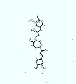 O=C(/C=C/c1ccc(Cl)c(Cl)c1)N1CCC(=O)N(CCC(O)CN2CC[C@H](F)[C@@H](O)C2)CC1